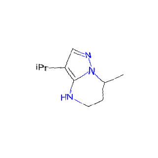 CC(C)c1cnn2c1NCCC2C